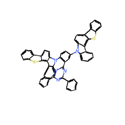 c1ccc(-c2nc(-c3ccccc3)nc(-c3cc(-n4c5ccccc5c5c6sc7ccccc7c6ccc54)ccc3-n3c4ccccc4c4c5sc6ccccc6c5ccc43)n2)cc1